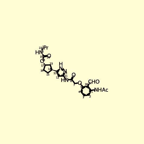 CC(=O)Nc1cccc(OCC(=O)Nc2cc([C@H]3CC[C@@H](OC(=O)NC(C)C)C3)[nH]n2)c1C=O